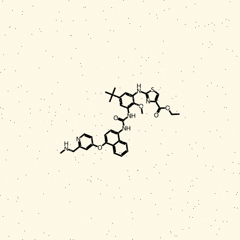 CCOC(=O)c1csc(Nc2cc(C(C)(C)C)cc(NC(=O)Nc3ccc(Oc4ccnc(CNC)c4)c4ccccc34)c2OC)n1